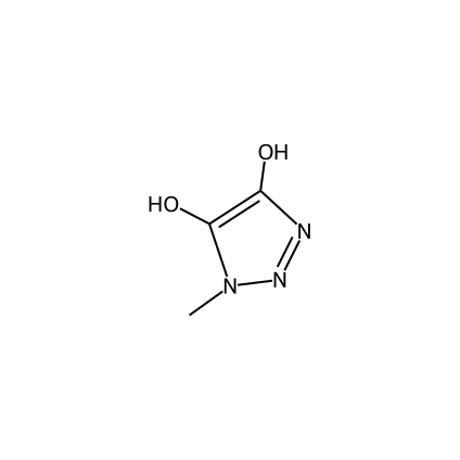 Cn1nnc(O)c1O